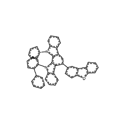 c1ccc(-c2ccccc2-n2c3ccccc3c3c(-c4ccc5oc6ccccc6c5c4)cc4c5ccccc5n(-c5ccccc5)c4c32)cc1